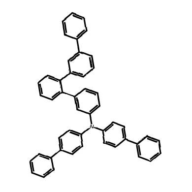 c1ccc(-c2ccc(N(c3ccc(-c4ccccc4)cc3)c3cccc(-c4ccccc4-c4cccc(-c5ccccc5)c4)c3)cc2)cc1